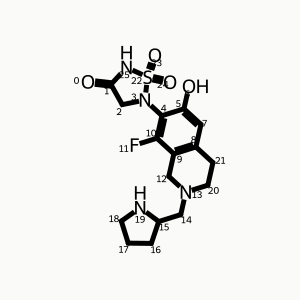 O=C1CN(c2c(O)cc3c(c2F)CN(CC2CCCN2)CC3)S(=O)(=O)N1